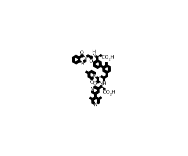 Cc1ccn([C@H](CC(C)Cc2ccc(C)c(-c3cccc([C@H](CC(=O)O)NC(=O)Cn4cnc5ccccc5c4=O)c3)c2)C(=O)N[C@@H](CC(=O)O)c2cncc(-c3c(C)cncc3C)c2)c(=O)c1